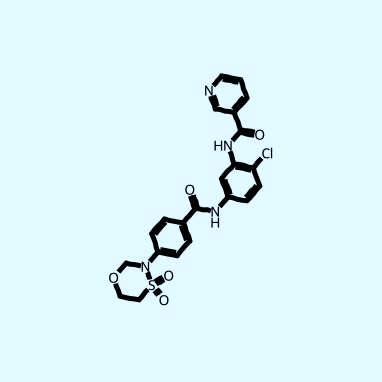 O=C(Nc1ccc(Cl)c(NC(=O)c2cccnc2)c1)c1ccc(N2COCCS2(=O)=O)cc1